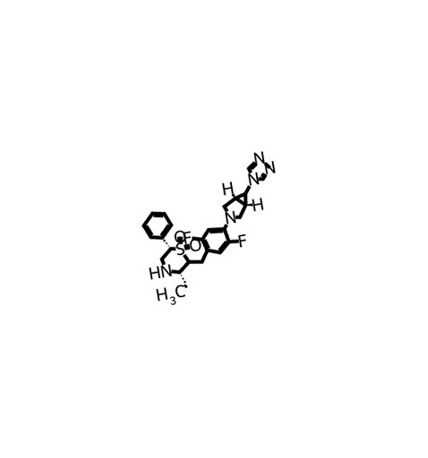 CC[C@@H]1NC[C@H](c2ccccc2)S(=O)(=O)C1Cc1cc(F)c(N2C[C@@H]3C(n4cnnc4)[C@@H]3C2)cc1F